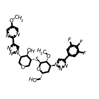 COc1cnc(-c2cn([C@H]3COC[C@@H](S[C@@H]4O[C@@H](CO)C[C@H](n5cc(-c6cc(F)c(F)c(F)c6)nn5)[C@H]4OC)[C@@H]3O)nn2)nc1